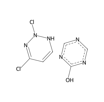 ClC1=NN(Cl)NC=C1.Oc1ncncn1